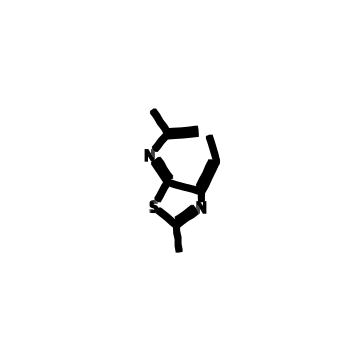 C=C(C)/N=C1/SC(C)=N/C1=C/C